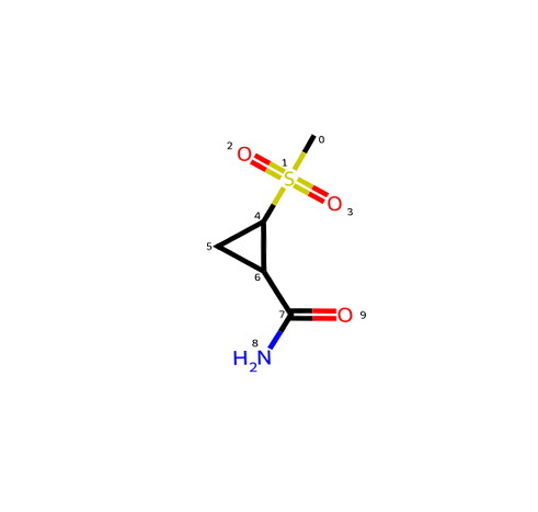 CS(=O)(=O)C1CC1C(N)=O